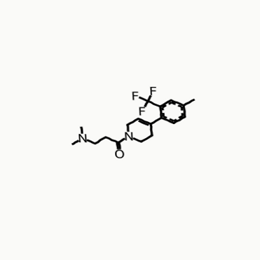 Cc1ccc(C2=CCN(C(=O)CCN(C)C)CC2)c(C(F)(F)F)c1